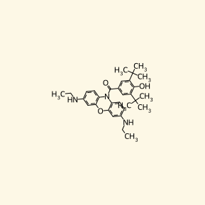 CCNc1ccc2c(c1)Oc1cc(NCC)ccc1N2C(=O)c1cc(C(C)(C)C)c(O)c(C(C)(C)C)c1